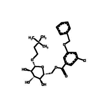 CS(C)(C)CCO[C@@H]1O[C@H](COC(=O)c2cc(Cl)cc(OCc3ccccc3)c2)[C@@H](O)[C@H](O)[C@H]1O